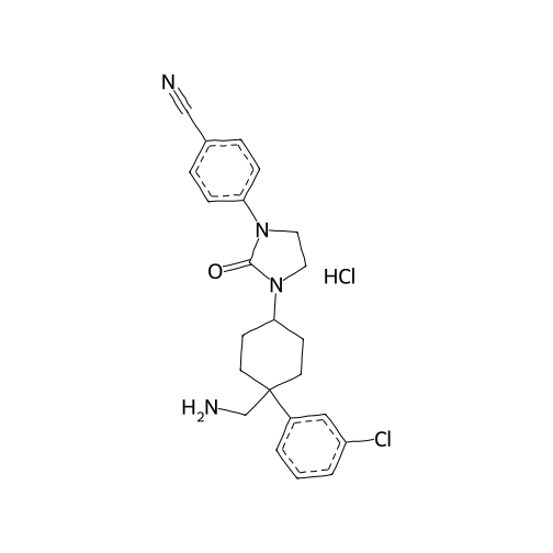 Cl.N#Cc1ccc(N2CCN(C3CCC(CN)(c4cccc(Cl)c4)CC3)C2=O)cc1